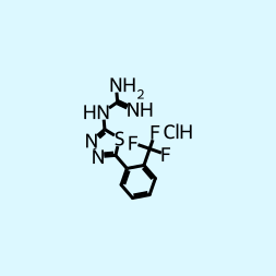 Cl.N=C(N)Nc1nnc(-c2ccccc2C(F)(F)F)s1